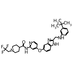 CC(C)(C)c1cccc(NCc2nc3cc(Oc4ccnc(NC(=O)C5CCN(CC(F)(F)F)CC5)c4)ccc3[nH]2)c1